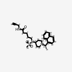 C#CCNC(=O)CCCCN(C1CCN([C@H](C)c2cccc3ccccc23)CC1)S(C)(=O)=O